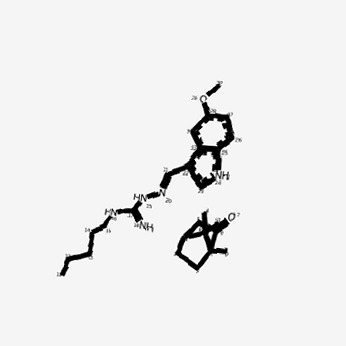 CC12CCC(CC1=O)C2(C)C.CCCCCNC(=N)N/N=C/c1c[nH]c2ccc(OC)cc12